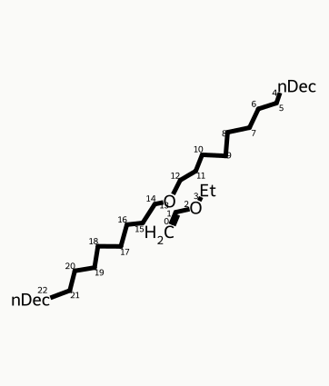 C=COCC.CCCCCCCCCCCCCCCCCCOCCCCCCCCCCCCCCCCCC